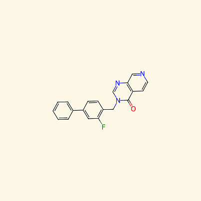 O=c1c2ccncc2ncn1Cc1ccc(-c2ccccc2)cc1F